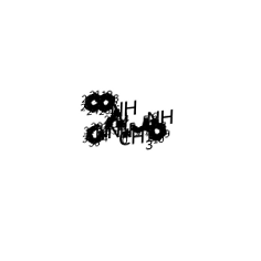 CN(CCc1c[nH]c2ccccc12)c1nc(Nc2ccc3ccccc3c2)cc(N2CCCCC2)n1